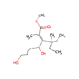 CCC(C)(CC)C(=C(C)C(=O)OC)C(O)CCCO